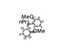 CCCP(c1ccccc1OC)c1ccccc1OC